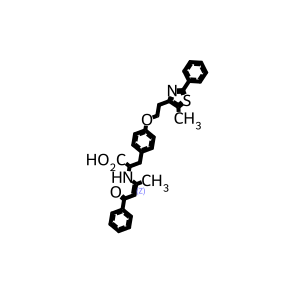 C/C(=C/C(=O)c1ccccc1)NC(Cc1ccc(OCCc2nc(-c3ccccc3)sc2C)cc1)C(=O)O